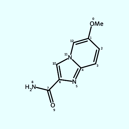 COc1ccc2nc(C(N)=O)cn2c1